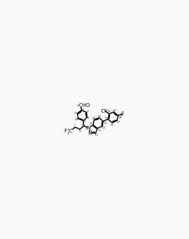 O=[C]c1ccc(C(CCC(F)(F)F)n2ncc3cc(-c4ccc(F)cc4Cl)ccc32)cc1